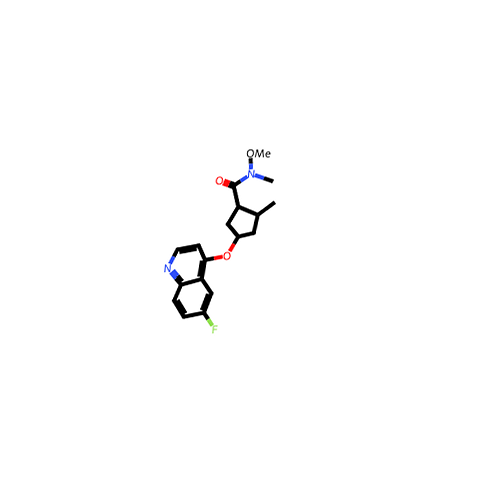 CON(C)C(=O)C1CC(Oc2ccnc3ccc(F)cc23)CC1C